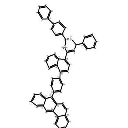 NC(/N=C(\NCc1ccc(-c2ccccc2)cc1)c1ccc(-c2ccc(-c3c4ccccc4cc4c3ccc3ccccc34)cc2)c2ccccc12)c1ccccc1